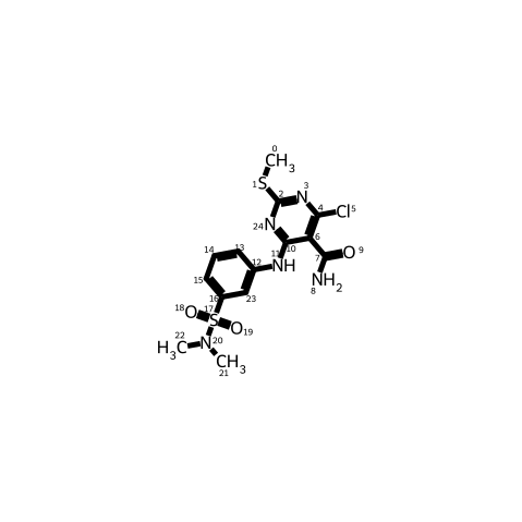 CSc1nc(Cl)c(C(N)=O)c(Nc2cccc(S(=O)(=O)N(C)C)c2)n1